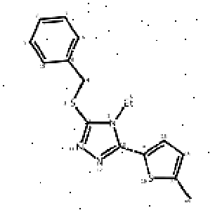 CCn1c(SCc2ccccc2)nnc1-c1ccc(C)s1